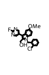 COc1ccc2c(c1)c(-c1cnc(F)nc1)c(CO)n2Cc1ccccc1Cl